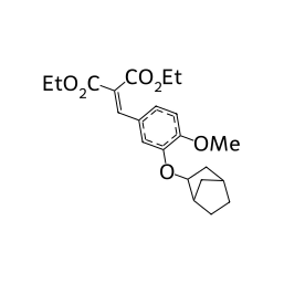 CCOC(=O)C(=Cc1ccc(OC)c(OC2CC3CCC2C3)c1)C(=O)OCC